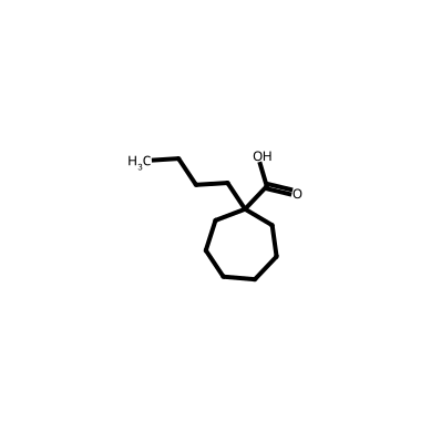 CCCCC1(C(=O)O)CCCCCC1